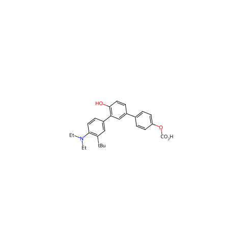 CCN(CC)c1ccc(-c2cc(-c3ccc(OC(=O)O)cc3)ccc2O)cc1C(C)(C)C